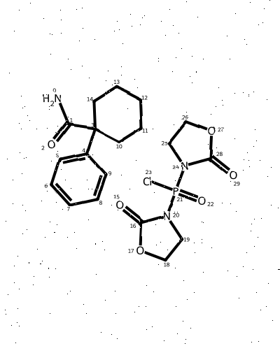 NC(=O)C1(c2ccccc2)CCCCC1.O=C1OCCN1P(=O)(Cl)N1CCOC1=O